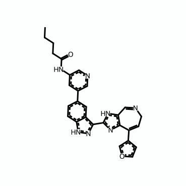 CCCCC(=O)Nc1cncc(-c2ccc3[nH]nc(-c4nc5c([nH]4)C=NCC=C5c4ccoc4)c3c2)c1